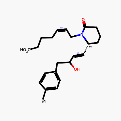 CC(C)c1ccc(CC(O)/C=C/[C@H]2CCCC(=O)N2C/C=C\CCCC(=O)O)cc1